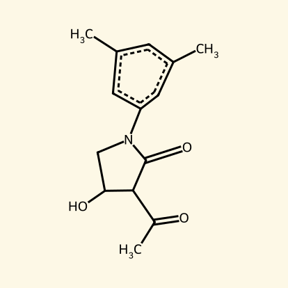 CC(=O)C1C(=O)N(c2cc(C)cc(C)c2)CC1O